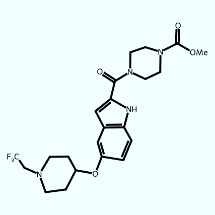 COC(=O)N1CCN(C(=O)c2cc3cc(OC4CCN(CC(F)(F)F)CC4)ccc3[nH]2)CC1